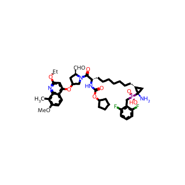 CCOc1cc(OC2C[C@@H](C=O)N(C(=O)[C@H](CCCCCCC[C@@H]3C[C@]3(N)P(=O)(O)Cc3c(F)cccc3F)NC(=O)OC3CCCC3)C2)c2ccc(OC)c(C)c2n1